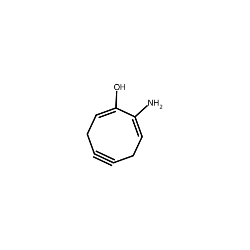 NC1=C/CC#CC/C=C\1O